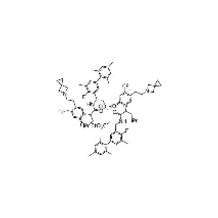 CCOC(=O)C[C@H](NC(=O)C(CC(C)C)n1cc(CCN2CC3(CC3)C2)c(C(F)(F)F)cc1=O)c1cc(-c2c(C)cc(C)cc2C)cc(C)c1F.Cc1cc(C)c(-c2cc(C)c(F)c([C@H](CC(=O)O)NC(=O)C(CC(C)C)n3cc(CCN4CC5(CC5)C4)c(C(F)(F)F)cc3=O)c2)c(C)c1